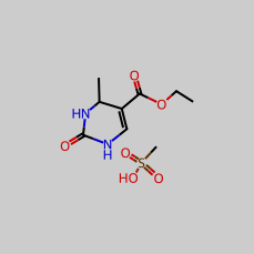 CCOC(=O)C1=CNC(=O)NC1C.CS(=O)(=O)O